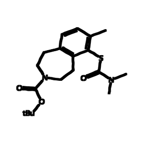 Cc1ccc2c(c1SC(=O)N(C)C)CCN(C(=O)OC(C)(C)C)CC2